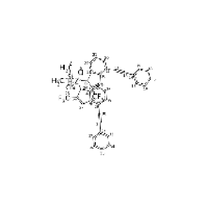 C[SiH](C)[Zr]([Cl])([Cl])([CH]1C(C(F)(F)F)=Cc2c(C#Cc3ccccc3)cccc21)[CH]1C(C(F)(F)F)=Cc2c(C#Cc3ccccc3)cccc21